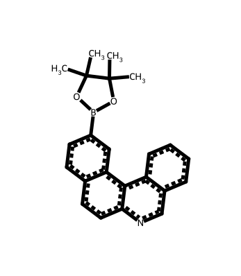 CC1(C)OB(c2ccc3ccc4ncc5ccccc5c4c3c2)OC1(C)C